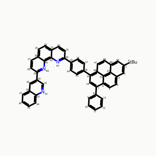 CC(C)(C)c1cc2ccc3c(-c4ccccc4)cc(-c4ccc(-c5ccc6ccc7ccc(-c8cnc9ccccc9c8)nc7c6n5)cc4)c4ccc(c1)c2c34